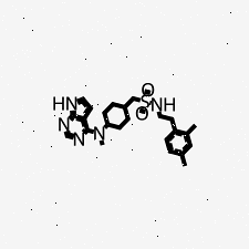 Cc1ccc(CCNS(=O)(=O)CC2CCC(N(C)c3ncnc4[nH]ccc34)CC2)c(C)c1